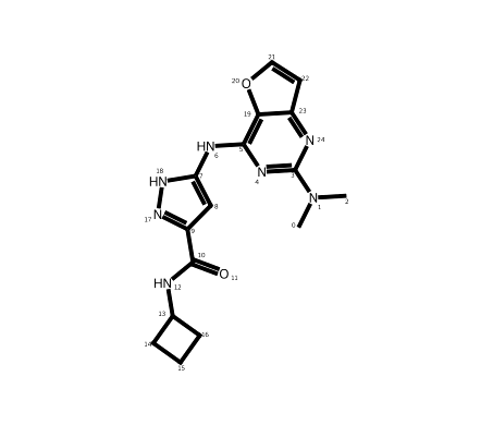 CN(C)c1nc(Nc2cc(C(=O)NC3CCC3)n[nH]2)c2occc2n1